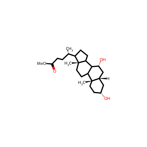 COC(=O)CC[C@H](C)C1CCC2C3C(CC[C@@]21C)[C@@]1(C)CC[C@@H](O)C[C@H]1C[C@H]3O